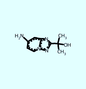 CC(C)(O)c1nc2cc(N)ccn2n1